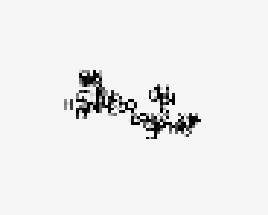 CC(CO)(NCc1cc(Cl)c(O[C@H]2CCc3c(-c4cccc5c4CC[C@@H]5Oc4nc(OCc5cncc(S(C)(=O)=O)c5)c(CNC(C)(CCO)C(=O)O)cc4Cl)cccc32)nc1OCc1cncc(S(C)(=O)=O)c1)C(=O)O